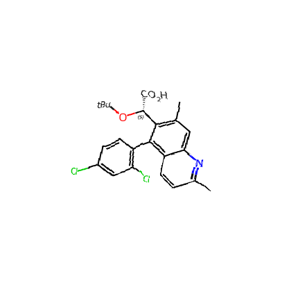 Cc1ccc2c(-c3ccc(Cl)cc3Cl)c([C@H](OC(C)(C)C)C(=O)O)c(C)cc2n1